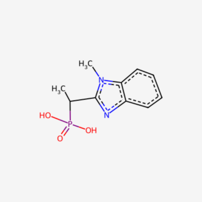 CC(c1nc2ccccc2n1C)P(=O)(O)O